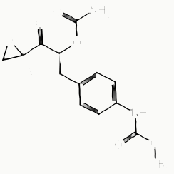 CC(C)(C)OC(=O)Nc1ccc(C[C@H](OC(N)=O)C(=O)[C@@]2(C)CO2)cc1